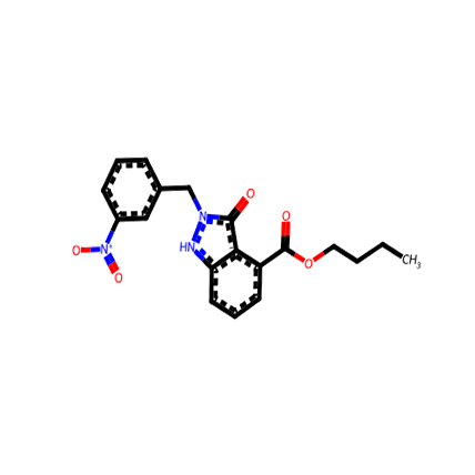 CCCCOC(=O)c1cccc2[nH]n(Cc3cccc([N+](=O)[O-])c3)c(=O)c12